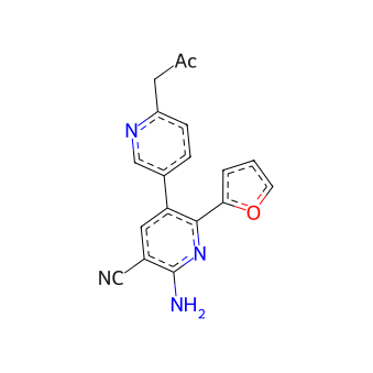 CC(=O)Cc1ccc(-c2cc(C#N)c(N)nc2-c2ccco2)cn1